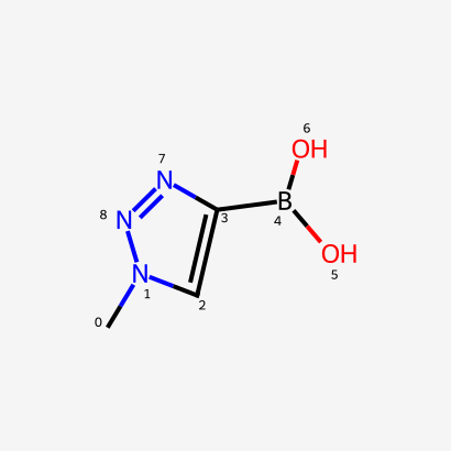 Cn1cc(B(O)O)nn1